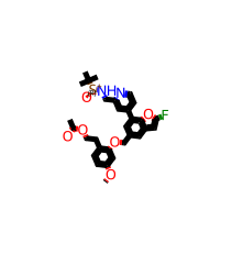 COc1ccc(CCOC(C)=O)c(OCc2cc(-c3ccnc(CN[S@@+]([O-])C(C)(C)C)c3)c3oc(F)cc3c2)c1